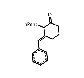 CCCCCC1C(=O)CCCC1=Cc1ccccc1